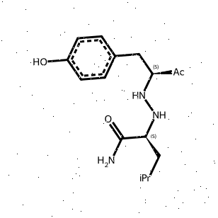 CC(=O)[C@H](Cc1ccc(O)cc1)NN[C@@H](CC(C)C)C(N)=O